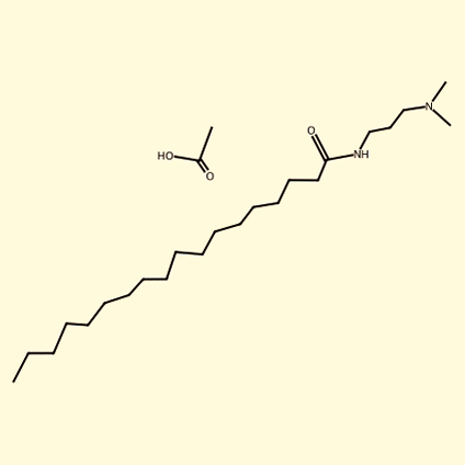 CC(=O)O.CCCCCCCCCCCCCCCCCC(=O)NCCCN(C)C